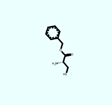 N[C@@H](CS)C(=O)OCc1ccccc1